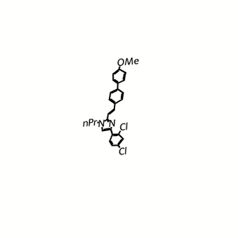 CCCn1cc(-c2ccc(Cl)cc2Cl)nc1C=Cc1ccc(-c2ccc(OC)cc2)cc1